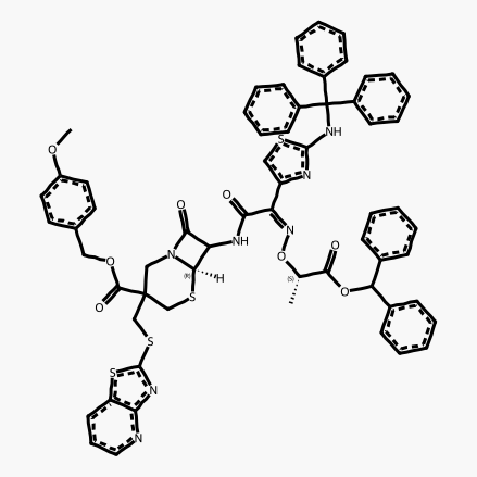 COc1ccc(COC(=O)C2(CSc3nc4ncccc4s3)CS[C@@H]3C(NC(=O)C(=NO[C@@H](C)C(=O)OC(c4ccccc4)c4ccccc4)c4csc(NC(c5ccccc5)(c5ccccc5)c5ccccc5)n4)C(=O)N3C2)cc1